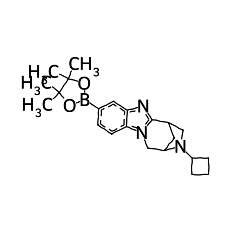 CC1(C)OB(c2ccc3c(c2)nc2n3CC3CC2CN3C2CCC2)OC1(C)C